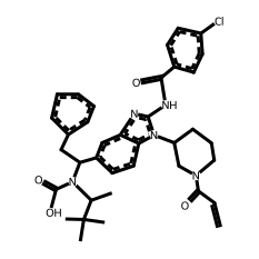 C=CC(=O)N1CCCC(n2c(NC(=O)c3ccc(Cl)cc3)nc3cc(C(Cc4ccccc4)N(C(=O)O)C(C)C(C)(C)C)ccc32)C1